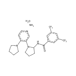 N.O.O=C(NC1CCCN1c1cnccc1N1CCCC1)c1cc(C(F)(F)F)cc(C(F)(F)F)c1